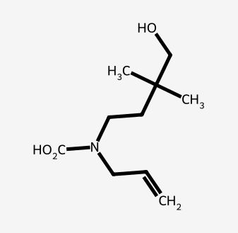 C=CCN(CCC(C)(C)CO)C(=O)O